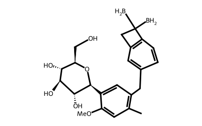 BC1(B)Cc2cc(Cc3cc([C@@H]4O[C@H](CO)[C@@H](O)[C@H](O)[C@H]4O)c(OC)cc3C)ccc21